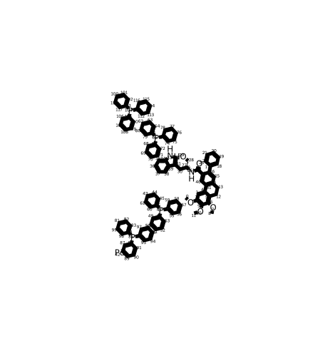 COc1cc2c(c(OC)c1OC)CCc1cc(-c3ccccc3)c(C(=O)N[C@@H](CO)Cc3c[nH]c4ccccc34)cc1-2.[Pd].c1ccc(P(c2ccccc2)c2ccccc2)cc1.c1ccc(P(c2ccccc2)c2ccccc2)cc1.c1ccc(P(c2ccccc2)c2ccccc2)cc1.c1ccc(P(c2ccccc2)c2ccccc2)cc1